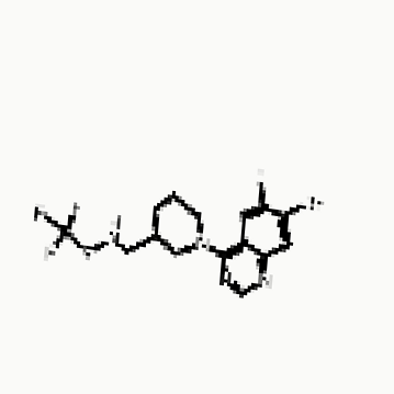 Fc1cc2c(N3CCCC(CNSC(F)(F)F)C3)ncnc2cc1Br